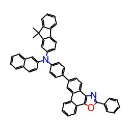 CC1(C)c2ccccc2-c2ccc(N(c3ccc(-c4ccc5c(c4)c4ccccc4c4oc(-c6ccccc6)nc54)cc3)c3ccc4ccccc4c3)cc21